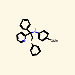 COc1ccc(NC(CSc2ccccc2)(c2ccccc2)c2ccccn2)cc1